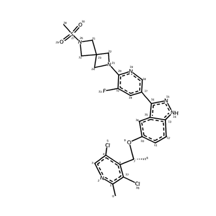 Cc1ncc(Cl)c([C@@H](C)Oc2ccc3[nH]nc(-c4cnc(N5CC6(C5)CN(S(C)(=O)=O)C6)c(F)c4)c3c2)c1Cl